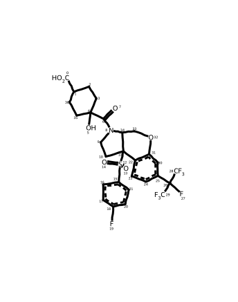 O=C(O)C1CCC(O)(C(=O)N2CCC3(S(=O)(=O)c4ccc(F)cc4)c4ccc(C(F)(C(F)(F)F)C(F)(F)F)cc4OCC23)CC1